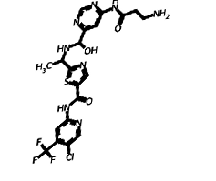 CC(NC(O)c1cc(NC(=O)CCN)ncn1)c1ncc(C(=O)Nc2cc(C(F)(F)F)c(Cl)cn2)s1